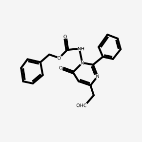 O=CCc1cc(=O)n(NC(=O)OCc2ccccc2)c(-c2ccccc2)n1